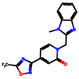 Cn1c(Cn2ccc(-c3noc(C(F)(F)F)n3)cc2=O)nc2ccccc21